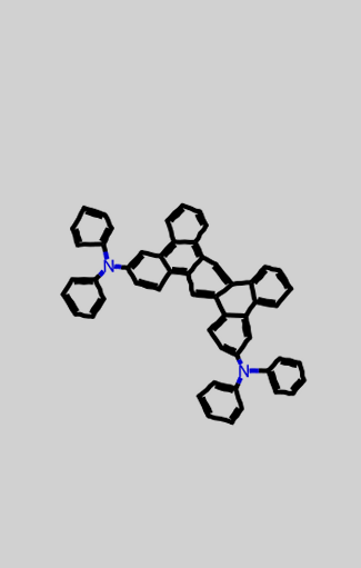 c1ccc(N(c2ccccc2)c2ccc3c(c2)c2ccccc2c2cc4c5ccccc5c5cc(N(c6ccccc6)c6ccccc6)ccc5c4cc32)cc1